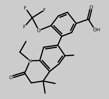 CCN1C(=O)CC(C)(C)c2cc(C)c(-c3cc(C(=O)O)ccc3OC(F)(F)F)cc21